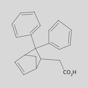 O=C(O)CC1C2C=CC(C2)C1(c1ccccc1)c1ccccc1